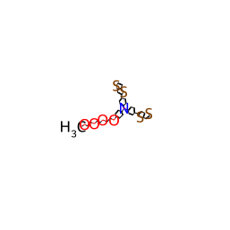 COCCOCCOCCOc1ccc(N(c2ccc(-c3cc4sccc4s3)cc2)c2ccc(-c3cc4sccc4s3)cc2)cc1